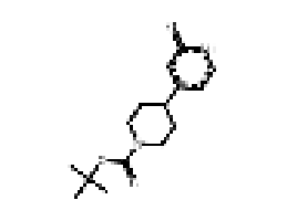 CC(C)(C)OC(=O)N1CCC(c2cc[nH]c(=O)c2)CC1